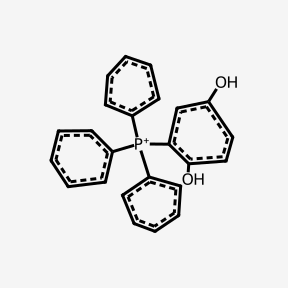 Oc1ccc(O)c([P+](c2ccccc2)(c2ccccc2)c2ccccc2)c1